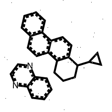 c1ccc2c(c1)ccc1c3c(ccc12)C(C1CC1)CCC3.c1ccc2nccnc2c1